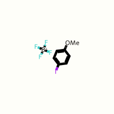 COc1ccc(I)cc1.F[B-](F)(F)F